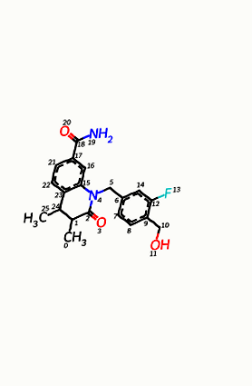 CC1C(=O)N(Cc2ccc(CO)c(F)c2)c2cc(C(N)=O)ccc2C1C